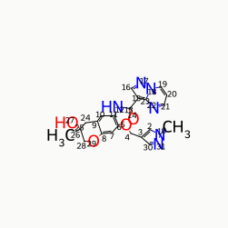 Cn1cc(COc2cc3c(cc2NC(=O)c2cnn4cccnc24)CC(C)(O)CO3)cn1